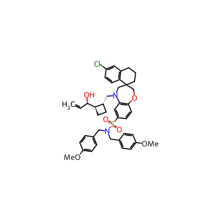 C=C[C@@H](O)[C@@H]1CC[C@H]1CN1CC2(CCCc3cc(Cl)ccc32)COc2ccc(S(=O)(=O)N(Cc3ccc(OC)cc3)Cc3ccc(OC)cc3)cc21